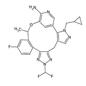 CC1Oc2cc(cnc2N)-c2c(cnn2CC2CC2)Cc2nn(C(F)F)nc2-c2ccc(F)cc21